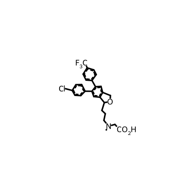 CN(CCCC1OCc2cc(-c3ccc(C(F)(F)F)cc3)c(-c3ccc(Cl)cc3)cc21)CC(=O)O